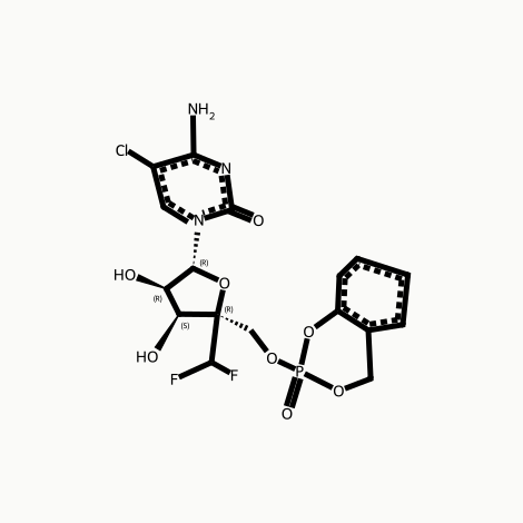 Nc1nc(=O)n([C@@H]2O[C@@](COP3(=O)OCc4ccccc4O3)(C(F)F)[C@@H](O)[C@H]2O)cc1Cl